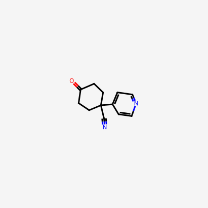 N#CC1(c2ccncc2)CCC(=O)CC1